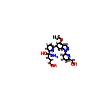 COc1cc(-c2cccc(C(N)(O)CCCO)n2)cc2c1cnn2-c1cccc(CO)n1